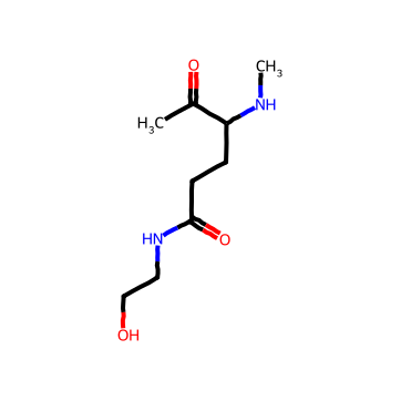 CNC(CCC(=O)NCCO)C(C)=O